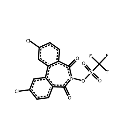 O=c1c2ccc(Cl)cc2c2cc(Cl)ccc2c(=O)n1OS(=O)(=O)C(F)(F)F